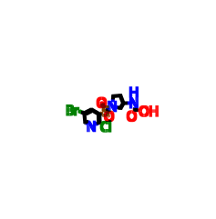 O=C(O)NC1CCN(S(=O)(=O)c2cc(Br)cnc2Cl)C1